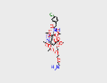 COC(=O)[C@@]1(OCCOCCOCCN)C[C@H](OC(C)=O)[C@@H](NC(C)=O)[C@H]([C@H](OC(C)=O)[C@@H](CNC(=O)Cc2ccc(Cl)cc2)OC(C)=O)O1